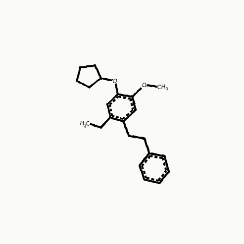 [CH2]Cc1cc(OC2CCCC2)c(OC)cc1CCc1ccccc1